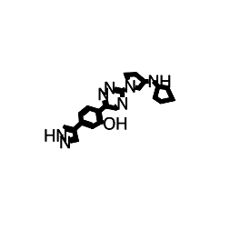 Oc1cc(-c2cn[nH]c2)ccc1-c1cnc(N2CCC(NC3CCCC3)C2)nn1